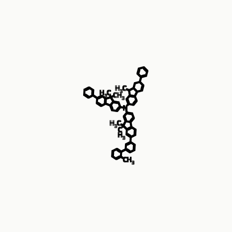 Cc1ccccc1-c1cccc(-c2ccc3c(c2)C(C)(C)c2cc(N(c4ccc5c(c4)C(C)C4CC(c6ccccc6)C=CC54)c4ccc5c(c4)C(C)(C)c4cc(-c6ccccc6)ccc4-5)ccc2-3)c1